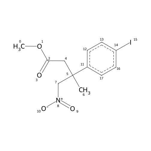 COC(=O)CC(C)(C[N+](=O)[O-])c1ccc(I)cc1